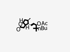 CCCCC(C)(C)[C@@H](/C=C/[C@@H]1[C@H]2CC(=O)O[C@H]2C[C@H]1C)OC(C)=O